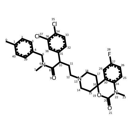 Cc1ccc(CN(C)C(=O)C(CCN2CCC3(CC2)OC(=O)N(C)c2ccc(F)cc23)c2ccc(Cl)c(Cl)c2)cc1